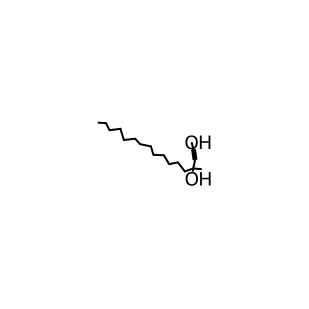 CCCCCCCCCCCCCC(C)(O)C#CO